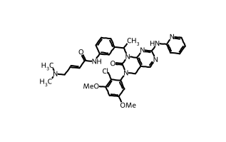 COc1cc(OC)c(Cl)c(N2Cc3cnc(Nc4ccccn4)nc3N(C(C)c3cccc(NC(=O)/C=C/CN(C)C)c3)C2=O)c1